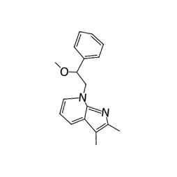 COC(Cn1cccc2c(C)c(C)nc1-2)c1ccccc1